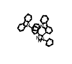 c1ccc(-c2nnn(-c3ccccc3)c2-c2cccc3c4ccccc4n(-c4cccc(-n5c6ccccc6c6ccccc65)c4)c23)cc1